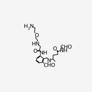 CC(CCC(=O)NC=O)N(C)Cc1c(C=O)cccc1NC(=O)CNCCOCCN